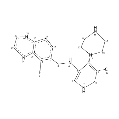 Fc1c(CNC2=CNCC(Cl)=C2N2CCNCC2)ccc2nccnc12